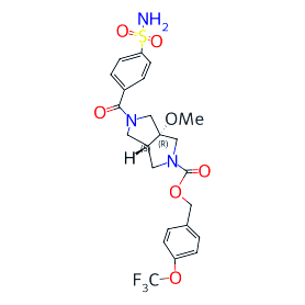 CO[C@]12CN(C(=O)OCc3ccc(OC(F)(F)F)cc3)C[C@@H]1CN(C(=O)c1ccc(S(N)(=O)=O)cc1)C2